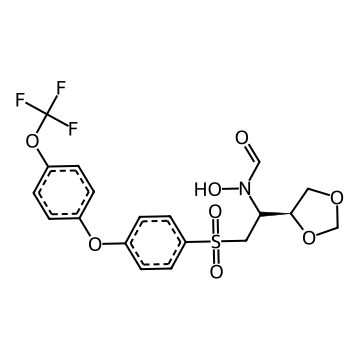 O=CN(O)C(CS(=O)(=O)c1ccc(Oc2ccc(OC(F)(F)F)cc2)cc1)[C@H]1COCO1